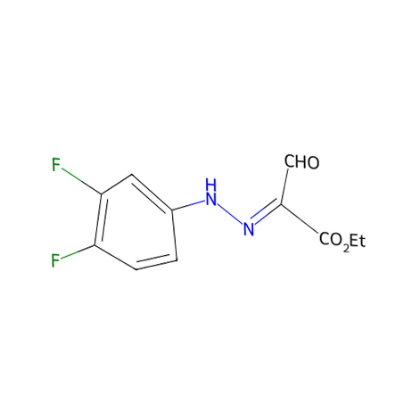 CCOC(=O)C(C=O)=NNc1ccc(F)c(F)c1